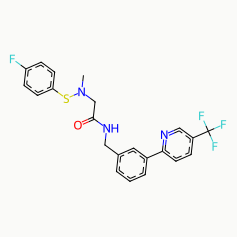 CN(CC(=O)NCc1cccc(-c2ccc(C(F)(F)F)cn2)c1)Sc1ccc(F)cc1